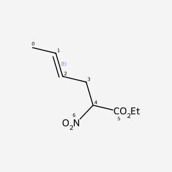 C/C=C/CC(C(=O)OCC)[N+](=O)[O-]